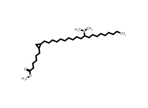 CCCCCCCCCC(CCCCCCCCCCC1CC1CCCCCC(=O)OC)N(C)C